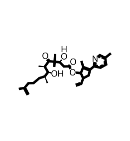 C=CC1CC(c2ccc(C)cn2)=C(C)C1OC(=O)C[C@H](O)C(C)(C)C(=O)[C@H](C)[C@@H](O)[C@@H](C)CCCC(=C)C